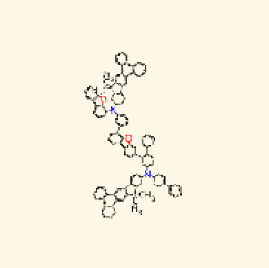 CC1(C)c2cc(N(c3ccc(-c4ccccc4)cc3)c3ccc(-c4ccccc4)c(-c4ccc5c(c4)oc4c(-c6cccc(N(c7ccc8c(c7)C(C)(C)c7cc9c%10ccccc%10c%10ccccc%10c9cc7-8)c7cccc8c7oc7ccccc78)c6)cccc45)c3)ccc2-c2cc3c4ccccc4c4ccccc4c3cc21